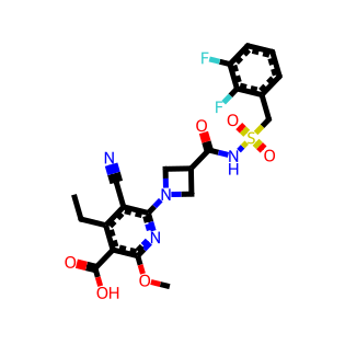 CCc1c(C#N)c(N2CC(C(=O)NS(=O)(=O)Cc3cccc(F)c3F)C2)nc(OC)c1C(=O)O